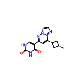 C[C@H]1C[C@@H](c2cc(-c3c[nH]c(=O)[nH]c3=O)nn3ccnc23)C1